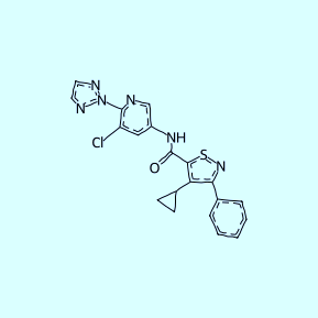 O=C(Nc1cnc(-n2nccn2)c(Cl)c1)c1snc(-c2ccccc2)c1C1CC1